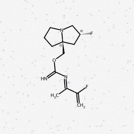 C=C(F)/C(C)=N/C(=N)OC[C@@]12CCCN1C[C@H](F)C2